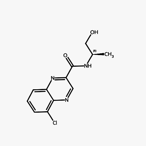 C[C@H](CO)NC(=O)c1cnc2c(Cl)cccc2n1